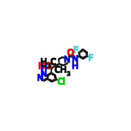 CC(C)(C1CCN(C(=O)Nc2cc(F)ccc2F)CC1)C(O)c1cc(Cl)cc2cn[nH]c12